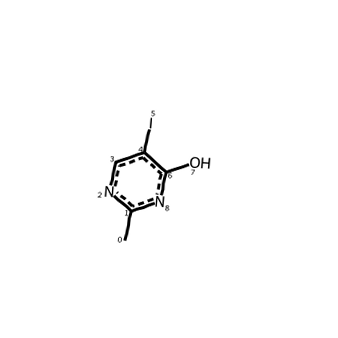 Cc1ncc(I)c(O)n1